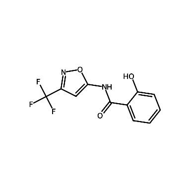 O=C(Nc1cc(C(F)(F)F)no1)c1ccccc1O